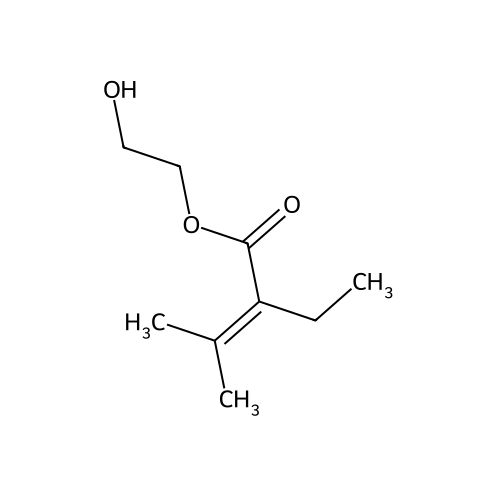 CCC(C(=O)OCCO)=C(C)C